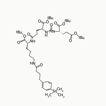 CC(C)(C)OC(=O)CC[C@H](NC(=O)N[C@@H](CCC(=O)N[C@@H](CCCCNC(=O)CCCc1cc[c]([Sn]([CH3])([CH3])[CH3])cc1)C(=O)OC(C)(C)C)C(=O)OC(C)(C)C)C(=O)OC(C)(C)C